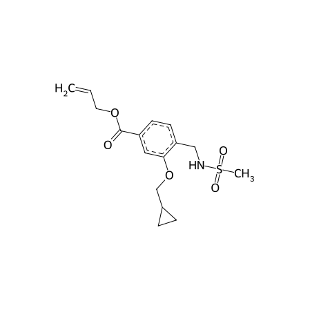 C=CCOC(=O)c1ccc(CNS(C)(=O)=O)c(OCC2CC2)c1